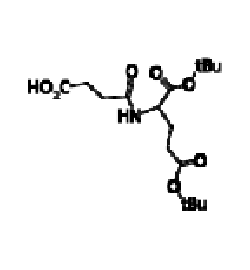 CC(C)(C)OC(=O)CCC(NC(=O)CCC(=O)O)C(=O)OC(C)(C)C